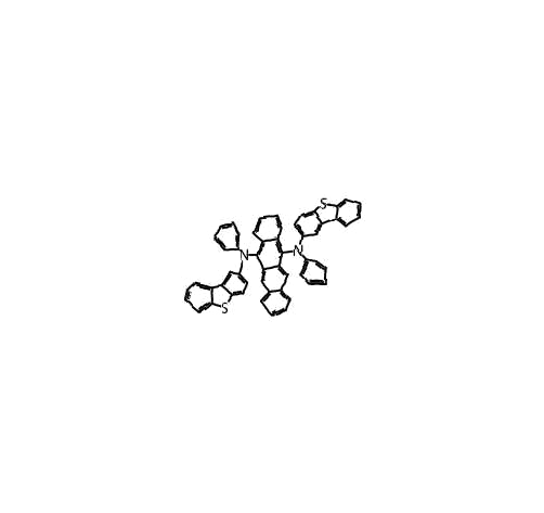 c1ccc(N(c2ccc3sc4ccccc4c3c2)c2c3ccccc3c(N(c3ccccc3)c3ccc4sc5ccccc5c4c3)c3cc4ccccc4cc23)cc1